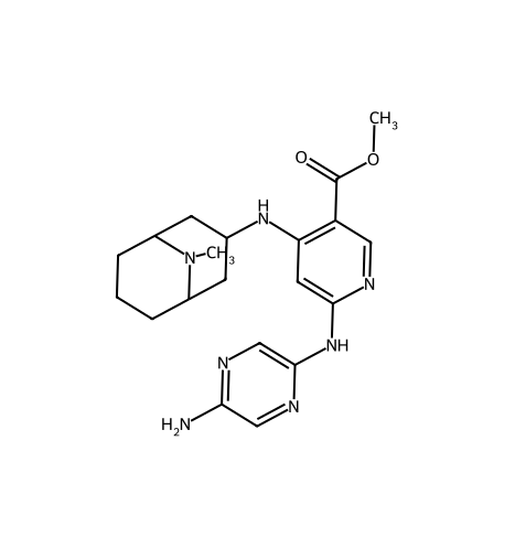 COC(=O)c1cnc(Nc2cnc(N)cn2)cc1NC1CC2CCCC(C1)N2C